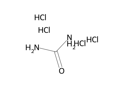 Cl.Cl.Cl.Cl.NC(N)=O